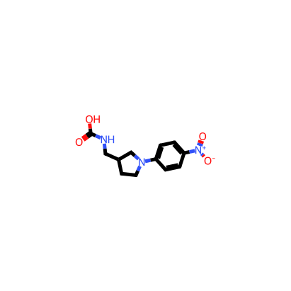 O=C(O)NCC1CCN(c2ccc([N+](=O)[O-])cc2)C1